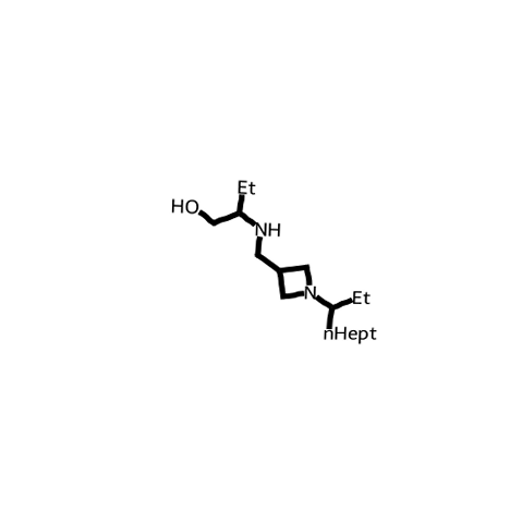 CCCCCCCC(CC)N1CC(CNC(CC)CO)C1